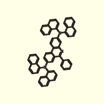 c1ccc(-c2nc3cc(N(c4cccc5ccccc45)c4cccc5ccccc45)ccc3c3ccc(N(c4cccc5ccccc45)c4cccc5ccccc45)cc23)cc1